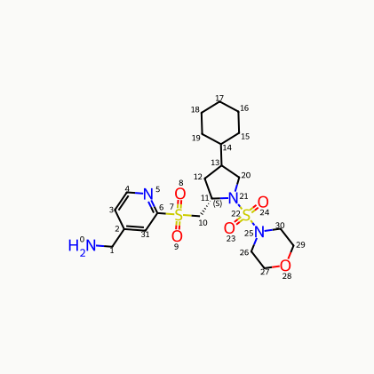 NCc1ccnc(S(=O)(=O)C[C@@H]2CC(C3CCCCC3)CN2S(=O)(=O)N2CCOCC2)c1